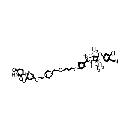 CC1(C)[C@H](NC(=O)c2ccc(OCCCCOCCN3CCN(CCOc4cnn(C5CCC(=O)NC5=O)c(=O)c4)CC3)cc2)C(C)(C)[C@H]1Oc1ccc(C#N)c(Cl)c1